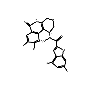 CN(C(=O)c1cc2c(F)cc(F)cc2[nH]1)[C@H]1COCc2[nH]c(=O)c3cc(F)c(F)cc3c21